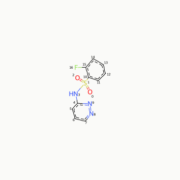 O=S(=O)(Nc1cccnn1)c1ccccc1F